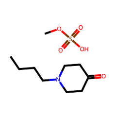 CCCCN1CCC(=O)CC1.COS(=O)(=O)O